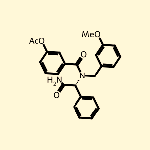 COc1cccc(CN(C(=O)c2cccc(OC(C)=O)c2)[C@@H](C(N)=O)c2ccccc2)c1